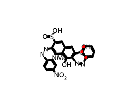 CNc1c(/N=N\c2ccc([N+](=O)[O-])cc2)c(S(=O)O)cc2cc(S(=O)O)c(/N=N\c3ccccc3)c(O)c12